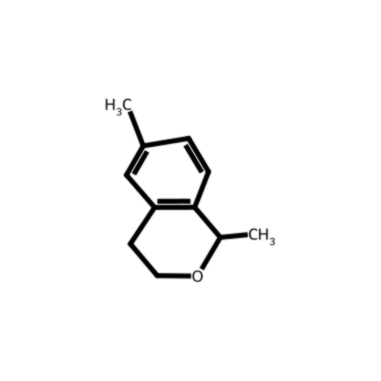 Cc1ccc2c(c1)CCOC2C